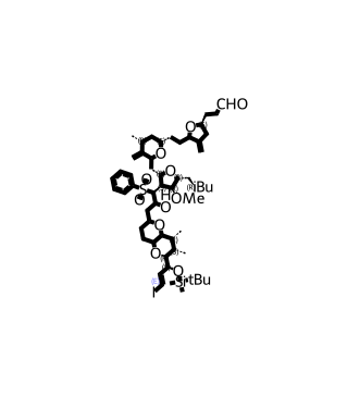 C=C1C[C@H](CCC=O)OC1CC[C@H]1C[C@@H](C)C(=C)C(C[C@@H]2O[C@H](C[C@H](C)CC)[C@H](OC)[C@H]2C(C(O)CC2CCC3O[C@@H]([C@H](/C=C/I)O[Si](C)(C)C(C)(C)C)[C@@H](C)[C@@H](C)C3O2)S(=O)(=O)c2ccccc2)O1